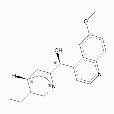 CCC1C[N@@]2CC[C@@H]1CC2[C@@H](O)c1ccnc2ccc(OC)cc12